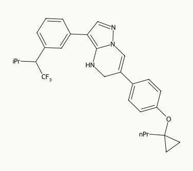 CCCC1(Oc2ccc(C3=Cn4ncc(-c5cccc(C(C(C)C)C(F)(F)F)c5)c4NC3)cc2)CC1